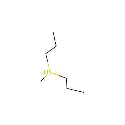 CCC[SH](C)CCC